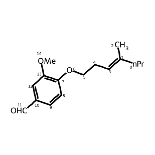 CCCC(C)=CCCOc1ccc(C=O)cc1OC